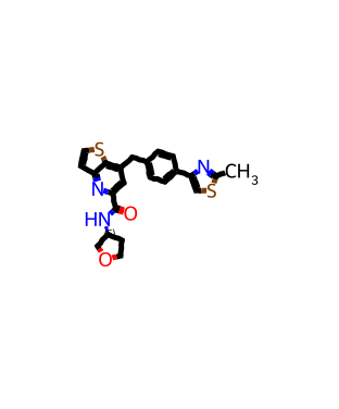 Cc1nc(-c2ccc(Cc3cc(C(=O)N[C@H]4CCOC4)nc4ccsc34)cc2)cs1